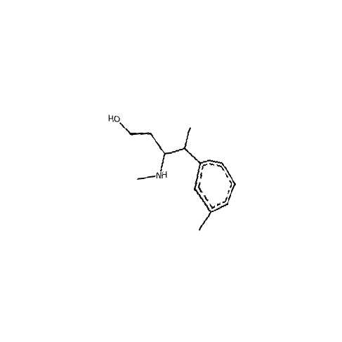 CNC(CCO)C(C)c1cccc(C)c1